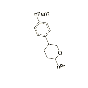 CCCCCc1ccc(C2CCC(CCC)OC2)cc1